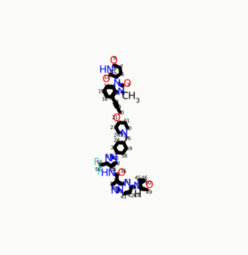 Cn1c(=O)n(C2CCC(=O)NC2=O)c2cccc(C#CCOC3CCN(C[C@H]4CC[C@H](n5cc(NC(=O)c6cnn7ccc(N8CC9C[C@@H]8CO9)nc67)c(C(F)F)n5)CC4)CC3)c21